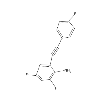 Nc1c(F)cc(F)cc1C#Cc1ccc(F)cc1